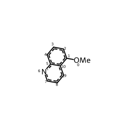 COc1cccc2ncc[c]c12